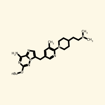 CCCCOc1nc(N)c2ncc(Cc3cnc(N4CCC(CCN(C)C)CC4)c(C)c3)n2n1